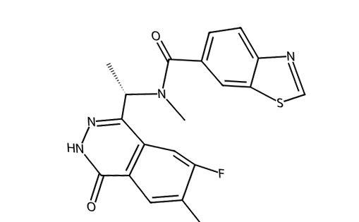 C[C@@H](c1n[nH]c(=O)c2cc(F)c(F)cc12)N(C)C(=O)c1ccc2ncsc2c1